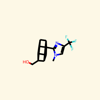 Cn1cc(C(F)(F)F)nc1C12C3C4C1C1C2C3C41CO